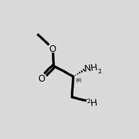 [2H]C[C@@H](N)C(=O)OC